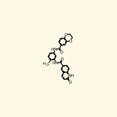 Cc1ccc(NC(=O)c2ccc3c(c2)OCCO3)cc1NC(=O)c1ccc2[nH]c(=O)ccc2c1